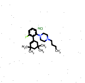 CCCCN1CCN(c2cccc(F)c2C2=CC(C)(C)CC(C)(C)C2)CC1.Cl